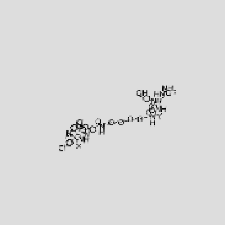 COc1cc(C(=O)NCCOCCOCCOCCOCCC(=O)N[C@@H](C(=O)N[C@@H](CCCNC(N)=O)C(=O)Nc2ccc(CO)cc2)C(C)C)ccc1NC(=O)[C@@H]1N[C@@H](CC(C)(C)C)[C@](C#N)(c2ccc(Cl)cc2F)[C@H]1c1cccc(Cl)c1F